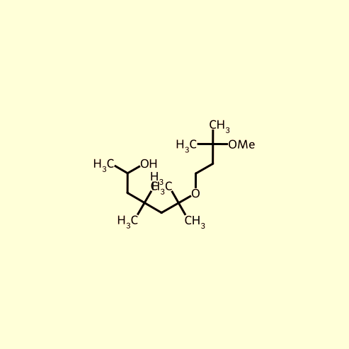 COC(C)(C)CCOC(C)(C)CC(C)(C)CC(C)O